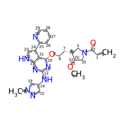 C=CC(=O)N1C[C@@H](CCOc2nc(Nc3cnn(C)c3)nc3[nH]cc(-c4ccccn4)c23)[C@H](OC)C1